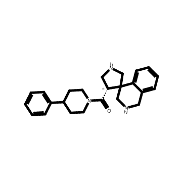 O=C([C@@H]1CNCC12CNCc1ccccc12)N1CCC(c2ccccc2)CC1